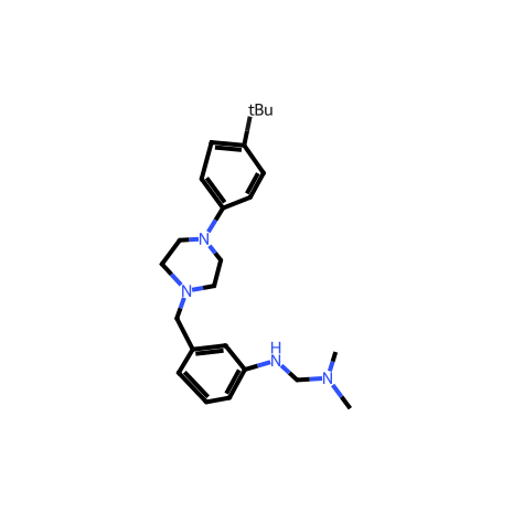 CN(C)CNc1cccc(CN2CCN(c3ccc(C(C)(C)C)cc3)CC2)c1